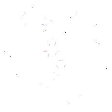 CCOc1ccc(S(=O)(=O)N2CCN(C)CC2)cc1-c1nc2c(C)n(Cc3csc(C)n3)nc2c(=O)[nH]1